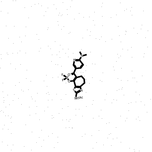 CC(=O)Nc1nc2c(s1)C1=C(CCC2)C(c2ccc(N(C)C)nc2)=[O+][B-](F)(F)O1